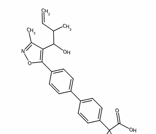 C=CC(C)C(O)c1c(C)noc1-c1ccc(-c2ccc(C3(C(=O)O)CC3)cc2)cc1